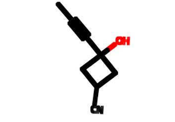 CC#CC1(O)CC(C#N)C1